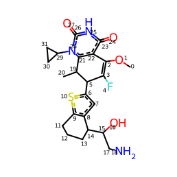 COC1=C(F)C(c2cc3c(s2)CCCC3C(O)CN)C(C)c2c1c(=O)[nH]c(=O)n2C1CC1